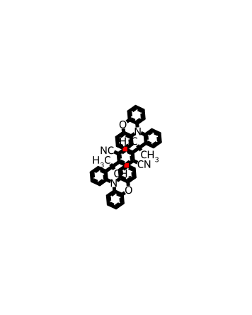 CC(C)(c1cc(C#N)c(C(C)(C)c2ccccc2N2c3ccccc3Oc3ccccc32)cc1C#N)c1ccccc1N1c2ccccc2Oc2ccccc21